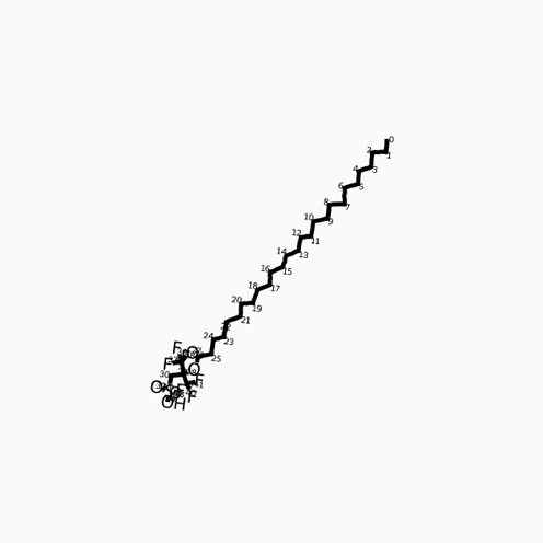 CCCCCCCCCCCCCCCCCCCCCCCCCCC(=O)OC(CS(=O)(=O)O)(C(F)(F)F)C(F)(F)F